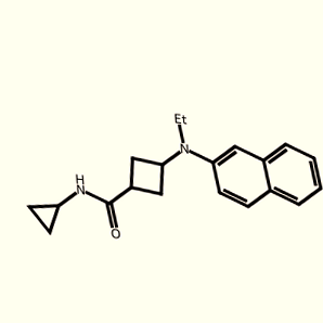 CCN(c1ccc2ccccc2c1)C1CC(C(=O)NC2CC2)C1